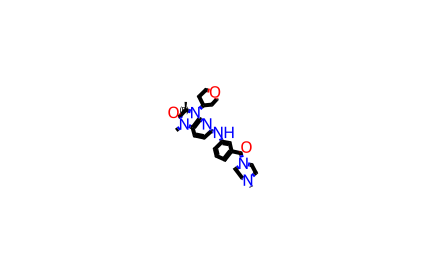 C[C@@H]1C(=O)N(C)c2ccc(Nc3cccc(C(=O)N4CCN(C)CC4)c3)nc2N1C1CCOCC1